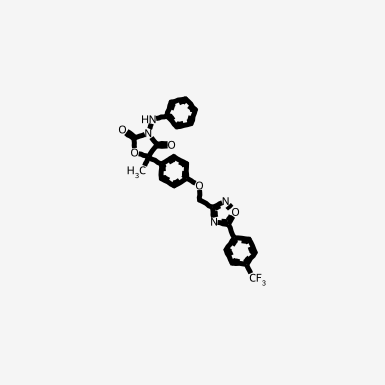 CC1(c2ccc(OCc3noc(-c4ccc(C(F)(F)F)cc4)n3)cc2)OC(=O)N(Nc2ccccc2)C1=O